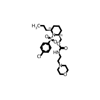 CCC[C@H]1CCC[C@@H](COC(=O)NCCN2CCOCC2)N1S(=O)(=O)c1ccc(Cl)cc1